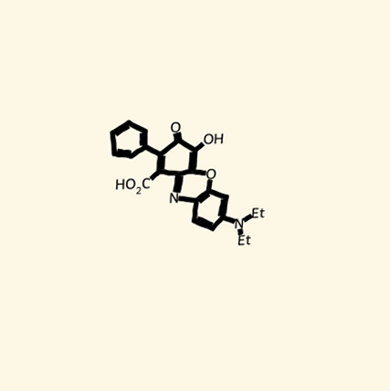 CCN(CC)c1ccc2nc3c(C(=O)O)c(-c4ccccc4)c(=O)c(O)c-3oc2c1